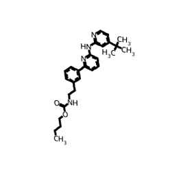 CCCCOC(=O)NCCc1cccc(-c2cccc(Nc3cc(C(C)(C)C)ccn3)n2)c1